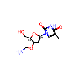 Cc1cn([C@H]2CC(OCN)[C@@H](CO)O2)c(=O)[nH]c1=O